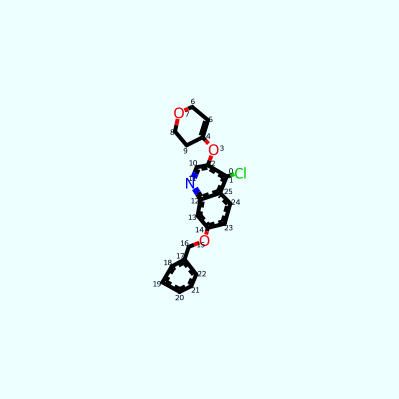 Clc1c(OC2=CCOCC2)cnc2cc(OCc3ccccc3)ccc12